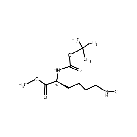 COC(=O)[C@H](CCCCNCl)NC(=O)OC(C)(C)C